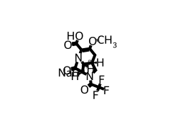 COC1=C(C(=O)O)N2C(=O)[C@@H]3[C@H]2[C@H](C1)CN3C(=O)C(F)(F)F.[NaH]